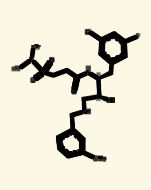 CCCN(CCC)S(=O)(=O)CCC(=O)N[C@@H](Cc1cc(F)cc(Cl)c1)[C@@H](O)CNCc1cccc(OC)c1